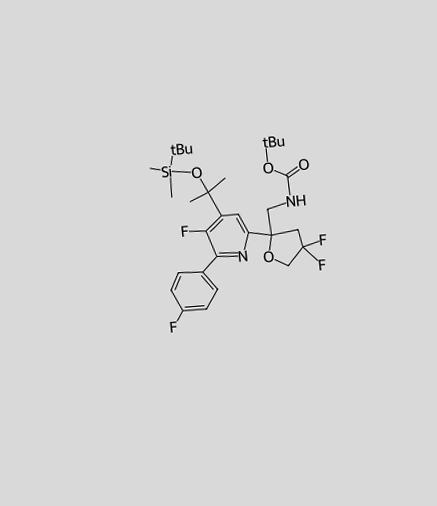 CC(C)(C)OC(=O)NCC1(c2cc(C(C)(C)O[Si](C)(C)C(C)(C)C)c(F)c(-c3ccc(F)cc3)n2)CC(F)(F)CO1